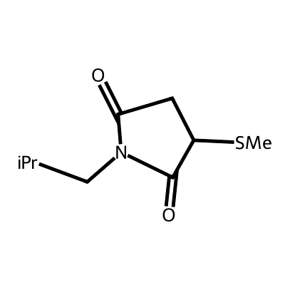 CSC1CC(=O)N(CC(C)C)C1=O